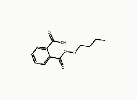 CCCCOOC(=O)c1ccccc1C(=O)O